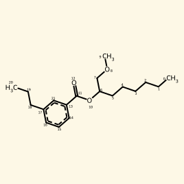 CCCCCCC(COC)OC(=O)c1cccc(CCC)c1